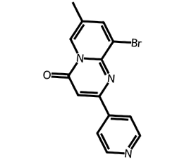 Cc1cc(Br)c2nc(-c3ccncc3)cc(=O)n2c1